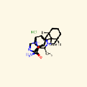 COC1(c2cccc(C(N)=O)c2)[C@@H]2CCC[C@H]1CN([C@@H](C)c1cnc[nH]1)C2.Cl